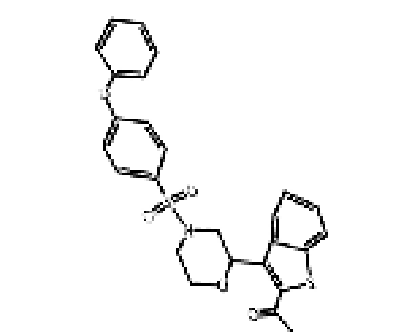 NC(=O)c1sc2ccccc2c1C1CN(S(=O)(=O)c2ccc(Oc3ccccc3)cc2)CCO1